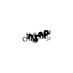 C=C(/C=C\N(N)c1ccncc1)C(=C)c1ccnn1-c1cccc(Cl)n1